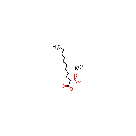 CCCCCCCCCC(C(=O)[O-])C(=O)[O-].[K+].[K+]